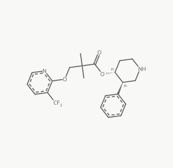 CC(C)(COc1ncccc1C(F)(F)F)C(=O)O[C@@H]1CCNC[C@H]1c1ccccc1